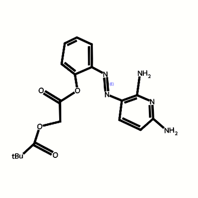 CC(C)(C)C(=O)OCC(=O)Oc1ccccc1/N=N/c1ccc(N)nc1N